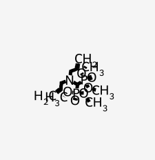 C=CCN(CC=C)C(P(=O)(OC)OC)P(=O)(OC)OC